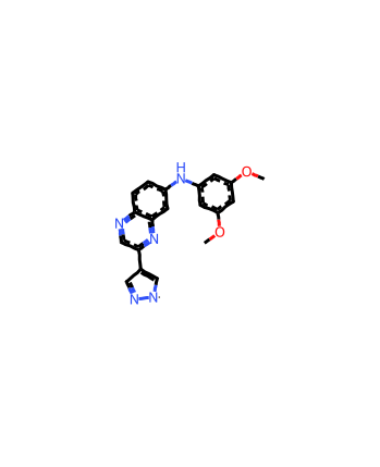 COc1cc(Nc2ccc3ncc(C4=C[N]N=C4)nc3c2)cc(OC)c1